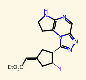 CCOC(=O)/C=C1\C[C@@H](I)[C@@H](c2nnc3cnc4c(n23)CCN4)C1